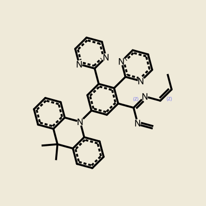 C=N/C(=N\C=C/C)c1cc(N2c3ccccc3C(C)(C)c3ccccc32)cc(-c2ncccn2)c1-c1ncccn1